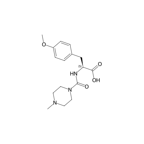 COc1ccc(C[C@H](NC(=O)N2CCN(C)CC2)C(=O)O)cc1